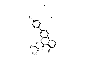 CCc1ccc(-c2cccc(N(CC(=O)OC(C)(C)C)C(=O)c3c(F)cccc3F)c2)cc1